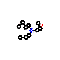 c1ccc(-c2ccc3ccc(-c4nc(-c5ccc6ccc7oc8ccccc8c7c6c5)nc(-c5cccc6c(-c7cccc8oc9ccccc9c78)cccc56)n4)cc3c2)cc1